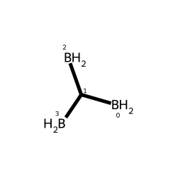 BC(B)B